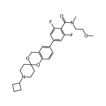 COCCN(C)C(=O)c1c(F)cc(-c2ccc3c(c2)COC2(CCN(C4CCC4)CC2)O3)cc1F